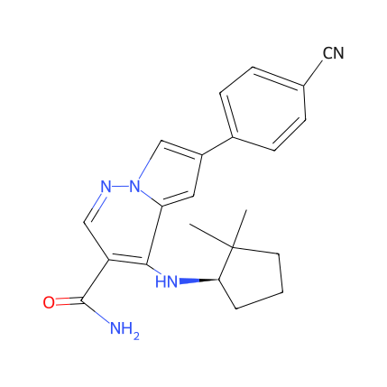 CC1(C)CCC[C@H]1Nc1c(C(N)=O)cnn2cc(-c3ccc(C#N)cc3)cc12